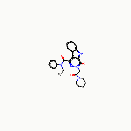 CCN(C(=O)c1nn(CC(=O)N2CCCCC2)c(=O)c2[nH]c3ccccc3c12)c1ccccc1